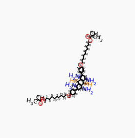 C=C(C)C(=O)OCCCCCCCCCCOC1=CCC(c2cc(N)c3c(c2N)C(=P)c2c(N)c(-c4ccc(OCCCCCCCCCCOC(=O)C(=C)C)cc4)cc(N)c2C3=P)C=C1